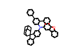 c1ccc(-c2ccc(N(c3ccc4c(c3)C3(c5ccccc5-4)C4CC5CC(C4)CC3C5)c3ccc4oc5ccccc5c4c3)c(-c3ccccc3)c2)cc1